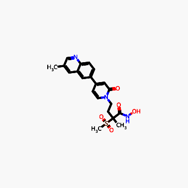 Cc1cnc2ccc(-c3ccn(CCC(C)(C(=O)NO)S(C)(=O)=O)c(=O)c3)cc2c1